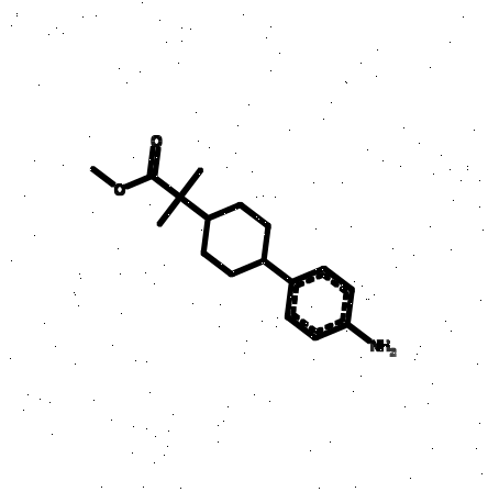 COC(=O)C(C)(C)C1CCC(c2ccc(N)cc2)CC1